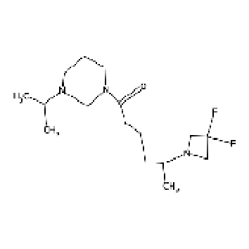 CC(C)N1CCCN(C(=O)CCCC(C)N2CC(F)(F)C2)C1